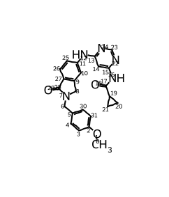 COc1ccc(CN2Cc3cc(Nc4cc(NC(=O)C5CC5)ncn4)ccc3C2=O)cc1